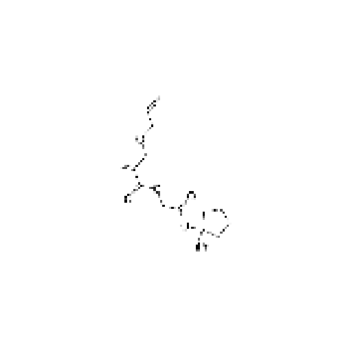 C=CCOCC(=C)C(=O)OCC(=O)OC1(C(C)C)CCCC1